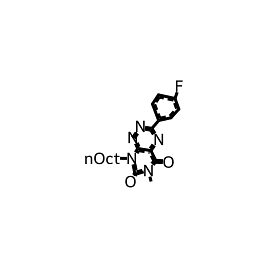 CCCCCCCCn1c(=O)n(C)c(=O)c2nc(-c3ccc(F)cc3)nnc21